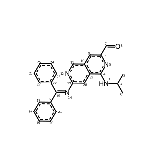 CC(C)Nc1nc(C=O)cc2cnc(N=C(c3ccccc3)c3ccccc3)cc12